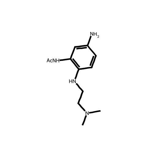 CC(=O)Nc1cc(N)ccc1NCCN(C)C